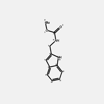 CC(C)(C)OC(=O)NCc1cc2ccccc2[nH]1